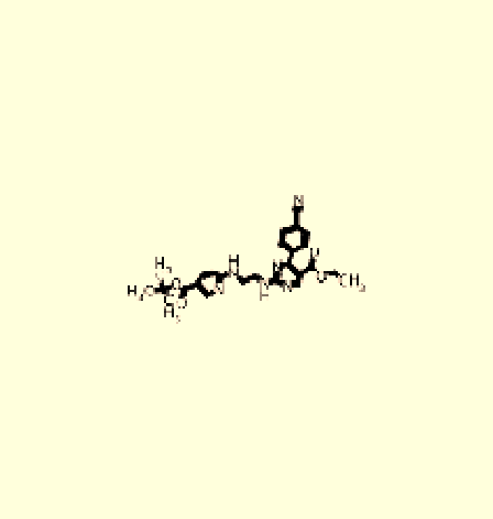 CCOC(=O)c1cnc(NCCNc2ccc(C(=O)OC(C)(C)C)cn2)nc1-c1ccc(C#N)cc1